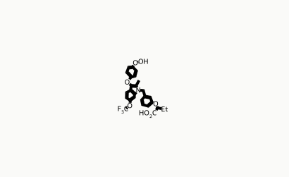 CCC(Oc1cccc(Cn2c(C)c(Oc3ccc(OO)cc3)c3ccc(OC(F)(F)F)cc32)c1)C(=O)O